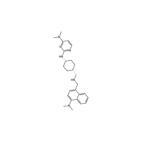 CN(C)c1ccnc(N[C@H]2CC[C@@H](CNCc3ccc(N(C)C)c4ccccc34)CC2)n1